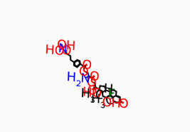 C[C@]12C=CC(=O)C=C1CC[C@H]1C3CCC(O)(C(=O)COC(=O)C(N)COC(=O)c4ccc(CCCON(O)O)cc4)[C@@]3(C)C[C@H](O)C12F